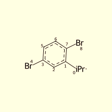 C[C](C)c1cc(Br)ccc1Br